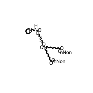 CCCCCCCCCOC(=O)CCCCCCCN(CCCCCCCC(=O)OCCCCCCCCC)C(=O)OCCSSCCOC(=O)NCCN1CCCCCC1